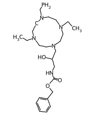 CCN1CCN(CP)CCN(CC)CCN(CC(O)CNC(=O)OCc2ccccc2)CC1